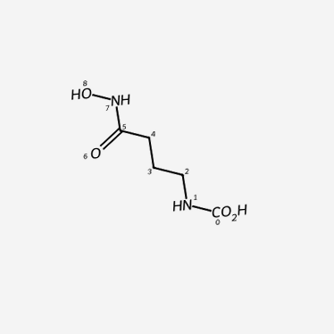 O=C(O)NCCCC(=O)NO